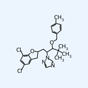 Cc1ccc(COC(C(CC2Cc3cc(Cl)cc(Cl)c3O2)n2cncn2)C(C)(C)C)cc1